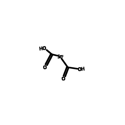 O=[C](O)[Sn][C](=O)O